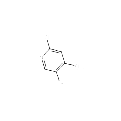 CCC(C)c1cnc(Cl)cc1C